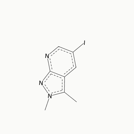 Cc1c2cc(I)cnc2nn1C